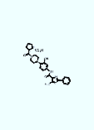 N#Cc1cc(NC(=O)c2nc(-c3ccccc3)oc2C(F)(F)F)ccc1N1CCN(C(=O)[C@H]2CCC[C@@H]2C(=O)O)CC1